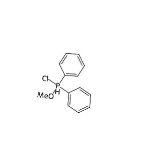 CO[PH](Cl)(c1ccccc1)c1ccccc1